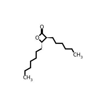 CCCCCCC[C@@H]1OC(=O)[C@H]1CCCCCC